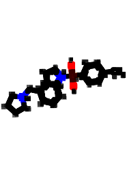 Cc1ccc(S(=O)(=O)n2ccc3c(CN4CCCC4)cccc32)cc1